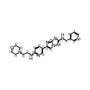 c1cncc(CNc2nn3cc(-c4ccc(NCCN5CCOCC5)nc4)nc3s2)c1